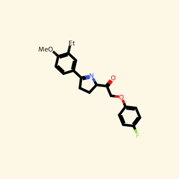 CCc1cc(C2=NC(C(=O)COc3ccc(F)cc3)CC2)ccc1OC